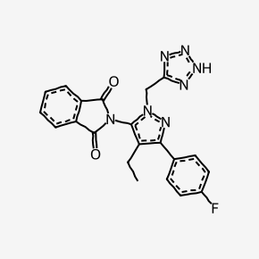 CCc1c(-c2ccc(F)cc2)nn(Cc2nn[nH]n2)c1N1C(=O)c2ccccc2C1=O